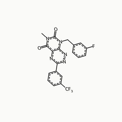 Cn1c(=O)c2nc(-c3cccc(C(F)(F)F)c3)nnc2n(Cc2cccc(F)c2)c1=O